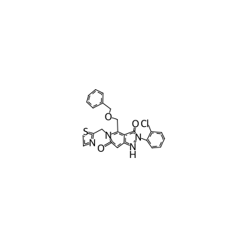 O=c1c2c(COCc3ccccc3)n(Cc3nccs3)c(=O)cc2[nH]n1-c1ccccc1Cl